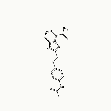 CC(=O)Nc1ccc(SCc2nc3c(C(N)=O)cccc3[nH]2)cc1